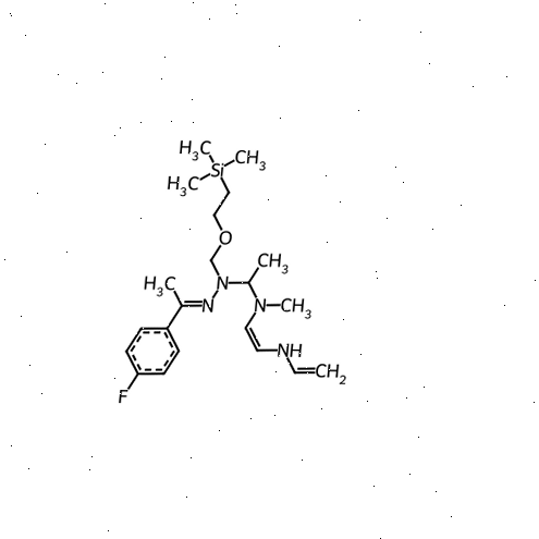 C=CN/C=C\N(C)C(C)N(COCC[Si](C)(C)C)/N=C(\C)c1ccc(F)cc1